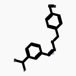 COc1ccc(CO/N=[C]\c2cccc(C(F)F)c2)cc1